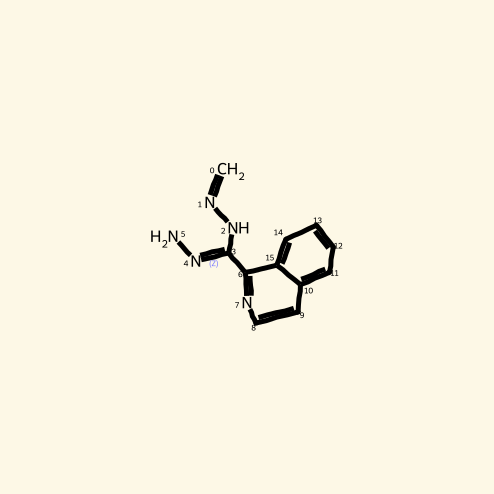 C=NN/C(=N\N)c1nccc2ccccc12